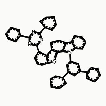 c1ccc(-c2cc(-c3ccccc3)cc(-n3c4ccccc4c4ccc5c(oc6cccc(-c7nc(-c8ccccc8)nc(-c8ccccc8)n7)c65)c43)c2)cc1